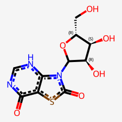 O=c1nc[nH]c2c1sc(=O)n2C1O[C@H](CO)[C@@H](O)[C@H]1O